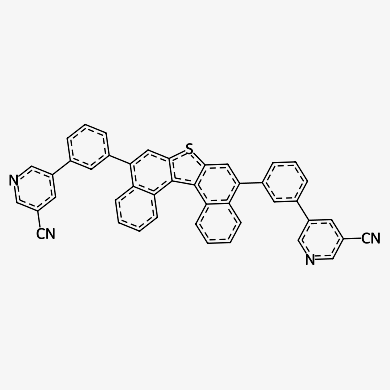 N#Cc1cncc(-c2cccc(-c3cc4sc5cc(-c6cccc(-c7cncc(C#N)c7)c6)c6ccccc6c5c4c4ccccc34)c2)c1